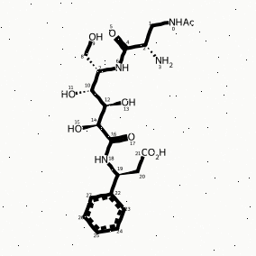 CC(=O)NC[C@H](N)C(=O)N[C@@H](CO)[C@@H](O)[C@@H](O)[C@H](O)C(=O)N[C@@H](CC(=O)O)c1ccccc1